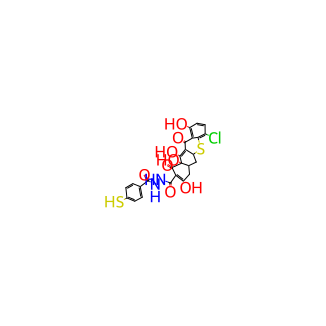 O=C(NNC(=O)c1ccc(S)cc1)C1=C(O)CC2CC3Sc4c(Cl)ccc(O)c4C(=O)C3=C(O)C2(O)C1=O